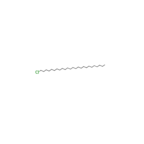 CCCCCCCCCCCCCCCCCCCCCCCCCCl